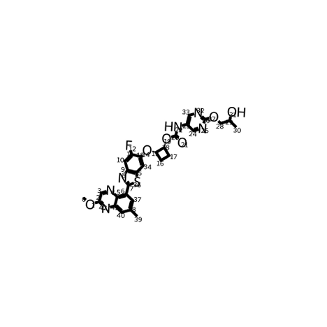 COc1cnc2c(-c3nc4cc(F)c(O[C@H]5CC[C@H]5OC(=O)Nc5cnc(OCC(C)O)nc5)cc4s3)cc(C)cc2n1